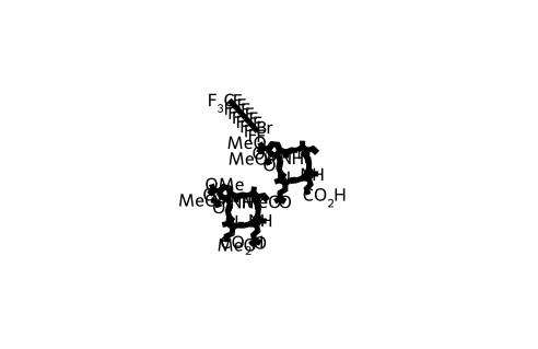 C=CC1=C(C)c2cc3[nH]c(cc4nc(cc5[nH]c(cc1n2)c(C)c5CCC(=O)O)C(CCC(=O)OC)=C4C)[C@@]1(C)C3=CC=C(C(=O)OC)[C@H]1C(=O)OC.C=CC1=C(C)c2cc3[nH]c(cc4nc(cc5[nH]c(cc1n2)c(C)c5CCC(=O)OC)C(CCC(=O)O)=C4C)[C@@]1(C)C3=CC=C(C(=O)OC)[C@H]1C(=O)OC.FC(F)(F)C(F)(F)C(F)(F)C(F)(F)C(F)(F)C(F)(F)C(F)(F)C(F)(F)Br